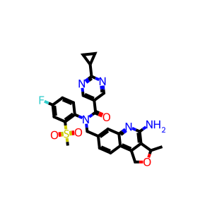 CC1OCc2c1c(N)nc1cc(CN(C(=O)c3cnc(C4CC4)nc3)c3ccc(F)cc3S(C)(=O)=O)ccc21